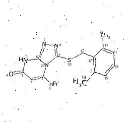 CCCc1cc(=O)[nH]c2nnc(SCc3c(C)cccc3C)n12